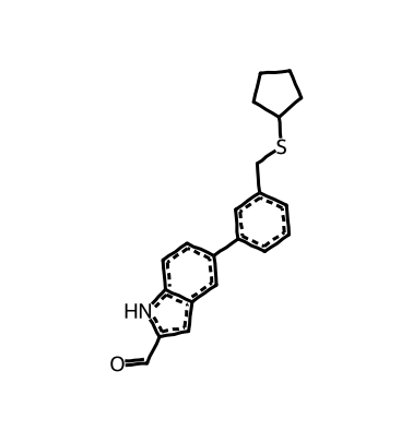 O=Cc1cc2cc(-c3cccc(CSC4CCCC4)c3)ccc2[nH]1